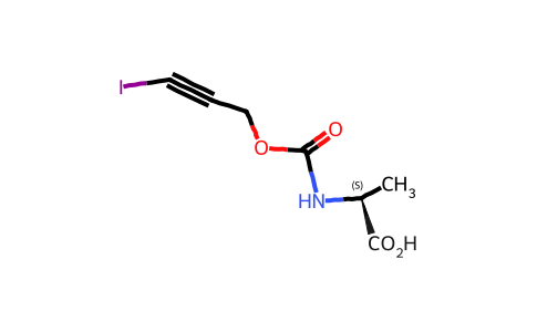 C[C@H](NC(=O)OCC#CI)C(=O)O